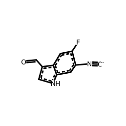 [C-]#[N+]c1cc2[nH]cc(C=O)c2cc1F